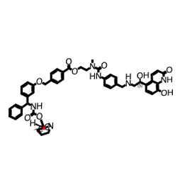 CN(CCOC(=O)c1ccc(COc2cccc(C(NC(=O)O[C@H]3CN4CCC3CC4)c3ccccc3)c2)cc1)C(=O)Nc1ccc(CNC[C@@H](O)c2ccc(O)c3[nH]c(=O)ccc23)cc1